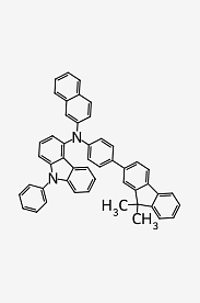 CC1(C)c2ccccc2-c2ccc(-c3ccc(N(c4ccc5ccccc5c4)c4cccc5c4c4ccccc4n5-c4ccccc4)cc3)cc21